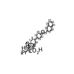 CC(C)C(NS(=O)(=O)c1ccc(-c2ccc(OCc3ccc4ccccc4c3)cc2)cc1F)C(=O)O